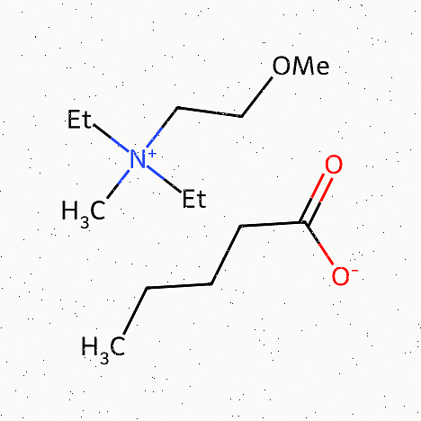 CCCCC(=O)[O-].CC[N+](C)(CC)CCOC